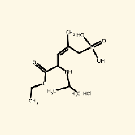 CCOC(=O)C(C=C(C)CP(=O)(O)O)NC(C)C.Cl